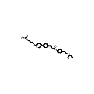 C=CC(=O)OCCc1ccc(OC(=O)/C=C/c2ccc(-c3ccc(OCCCOC(=O)C(C)=O)cc3)cc2)cc1